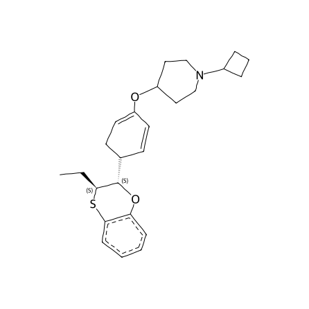 CC[C@@H]1Sc2ccccc2O[C@H]1C1C=CC(OC2CCN(C3CCC3)CC2)=CC1